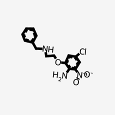 Nc1c(OCCNCc2ccccc2)cc(Cl)cc1[N+](=O)[O-]